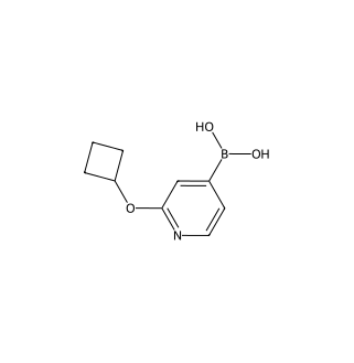 OB(O)c1ccnc(OC2CCC2)c1